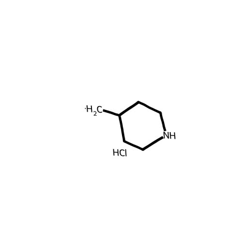 Cl.[CH2]C1CCNCC1